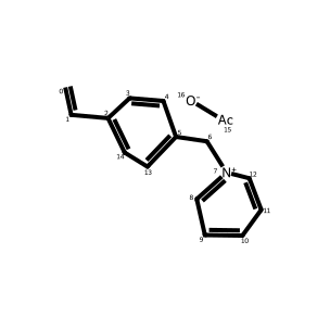 C=Cc1ccc(C[n+]2ccccc2)cc1.CC(=O)[O-]